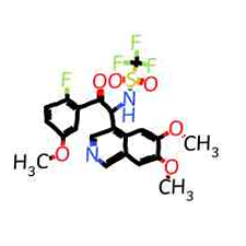 COc1ccc(F)c(C(=O)C(NS(=O)(=O)C(F)(F)F)c2cncc3cc(OC)c(OC)cc23)c1